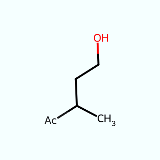 CC(=O)C(C)CCO